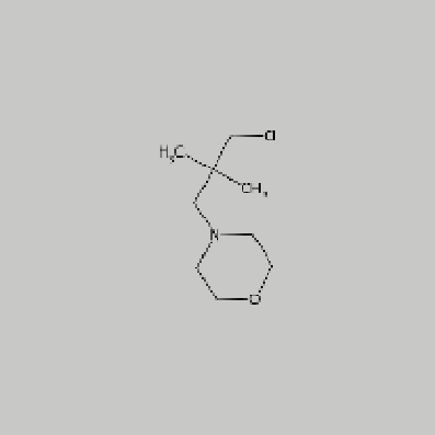 CC(C)(CCl)CN1CCOCC1